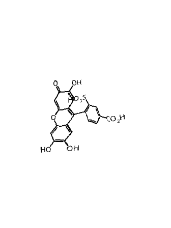 O=C(O)c1ccc(-c2c3cc(O)c(=O)cc-3oc3cc(O)c(O)cc23)c(S(=O)(=O)O)c1